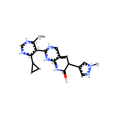 CCn1cc(C2C=c3cnc(-c4c(OC)ncnc4C4CC4)nc3=NC2=O)cn1